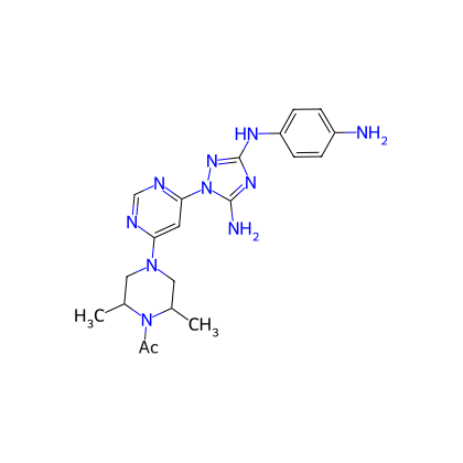 CC(=O)N1C(C)CN(c2cc(-n3nc(Nc4ccc(N)cc4)nc3N)ncn2)CC1C